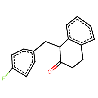 O=C1CCc2ccccc2C1Cc1ccc(F)cc1